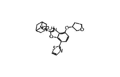 O=C(O)N1C2CC1CN(c1nc3c(O[C@H]4CCOC4)ccc(-c4nccs4)c3o1)C2